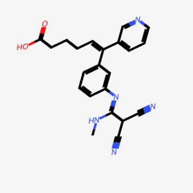 CNC(=Nc1cccc(/C(=C\CCCC(=O)O)c2cccnc2)c1)C(C#N)C#N